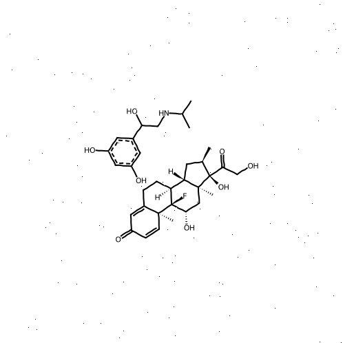 CC(C)NCC(O)c1cc(O)cc(O)c1.C[C@@H]1C[C@H]2[C@@H]3CCC4=CC(=O)C=C[C@]4(C)[C@@]3(F)[C@@H](O)C[C@]2(C)[C@@]1(O)C(=O)CO